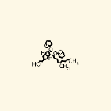 CCCCC(C)CCC=C(OC1CCCCO1)[C@H]1[C@@H]2CC(CCO)=C[C@@H]2C[C@@H]1OC1CCCCO1